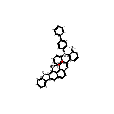 CC1CC=CC(c2cc3ccc4cc5c6ccccc6sc5c5[nH]c(c2)c3c45)=C1N(c1ccccc1)c1ccc(-c2ccccc2)cc1